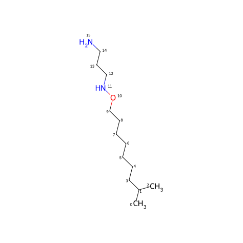 CC(C)CCCCCCCONCCCN